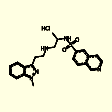 CC(CNCCc1nn(C)c2ccccc12)NS(=O)(=O)c1ccc2cnccc2c1.Cl